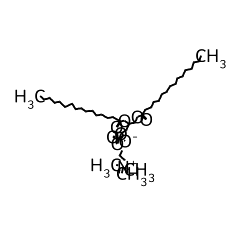 CCCCCCCCCCCCCCCC(=O)OCC(COP(=O)([O-])OCCC[N+](C)(C)C)OC(=O)CCCCCCCCCCCCCCC